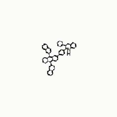 C1=CCCC(C2Cc3ccccc3NC2c2ccc(C3=CC4=C(c5ccc6ccccc6c5)C5=CC=CCC5C(C5=Cc6ccccc6CC5)=C4CC3)cc2)=C1